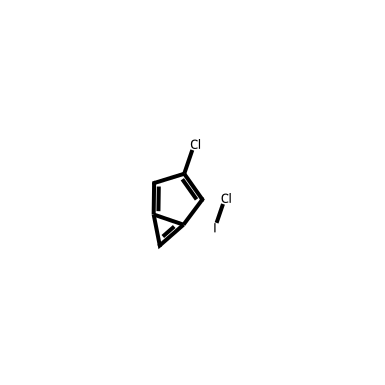 ClI.Clc1cc2cc-2c1